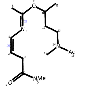 CNC(=O)C/C=C\N=C(/C)OC(C)CCN(C)C(C)=O